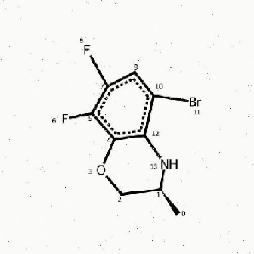 C[C@H]1COc2c(F)c(F)cc(Br)c2N1